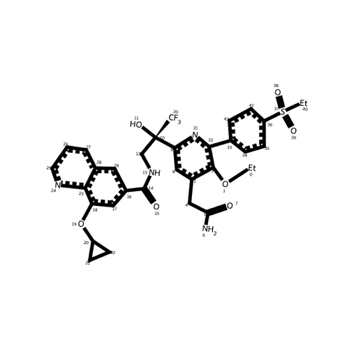 CCOc1c(CC(N)=O)cc([C@@](O)(CNC(=O)c2cc(OC3CC3)c3ncccc3c2)C(F)(F)F)nc1-c1ccc(S(=O)(=O)CC)cc1